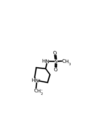 [CH2-][NH+]1CCC(NS(C)(=O)=O)CC1